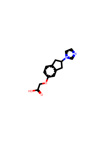 O=C(O)COc1ccc2c(c1)CC(n1ccnc1)C2